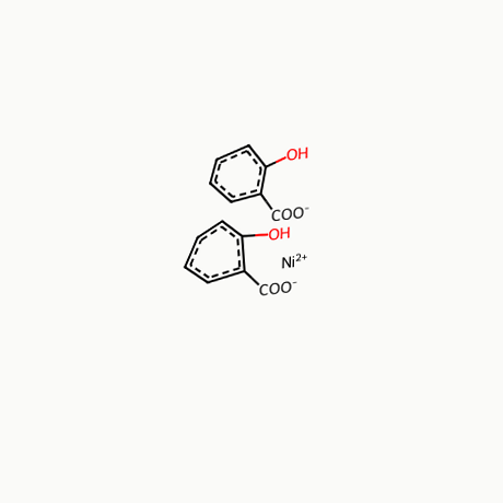 O=C([O-])c1ccccc1O.O=C([O-])c1ccccc1O.[Ni+2]